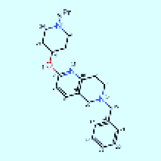 CC(C)N1CCC(Oc2ccc3c(n2)CCN(Cc2ccccc2)C3)CC1